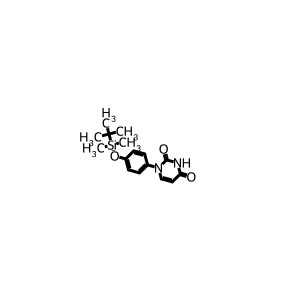 CC(C)(C)[Si](C)(C)Oc1ccc(-n2ccc(=O)[nH]c2=O)cc1